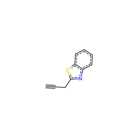 C#CCc1nc2ccccc2s1